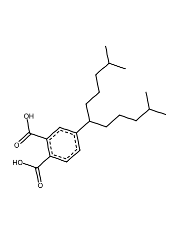 CC(C)CCCC(CCCC(C)C)c1ccc(C(=O)O)c(C(=O)O)c1